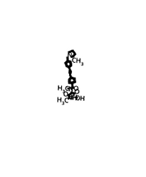 CNC(=O)C(C(=O)NO)N(C)C(=O)c1ccc(C#Cc2ccc(CN3CCCC3C)cc2)cc1